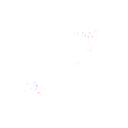 CC(C)(CCCCOCCOCCCC(C)(C)COP(N)(=O)O)COP(N)(=O)O